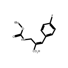 CC(C)(C)OC(=O)NCC(=Cc1ccc(F)cc1)C(=O)O